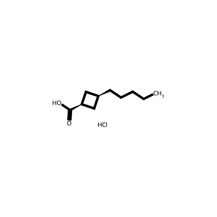 CCCCC[C@H]1C[C@@H](C(=O)O)C1.Cl